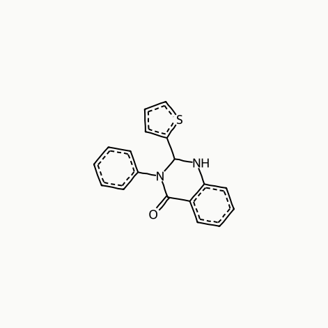 O=C1c2ccccc2NC(c2cccs2)N1c1ccccc1